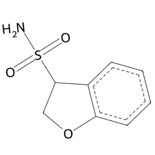 NS(=O)(=O)C1COc2ccccc21